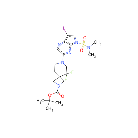 CN(C)S(=O)(=O)n1cc(I)c2ncc(N3CCC4(CN(C(=O)OC(C)(C)C)C4)C(F)(F)C3)nc21